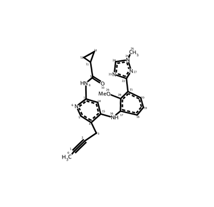 CC#CCc1cnc(NC(=O)C2CC2)cc1Nc1cccc(-c2ncn(C)n2)c1OC